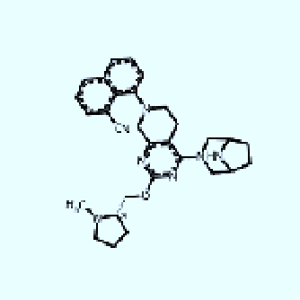 CN1CCC[C@H]1COc1nc2c(c(N3CC4CCC(C3)N4)n1)CCN(c1cccc3cccc(C#N)c13)C2